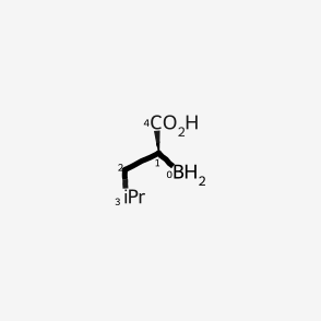 B[C@@H](CC(C)C)C(=O)O